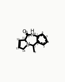 CC1c2ccccc2NC(=O)C2C=CCN21